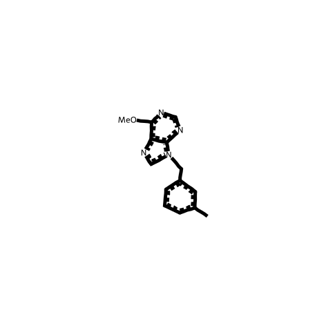 COc1ncnc2c1ncn2Cc1cccc(C)c1